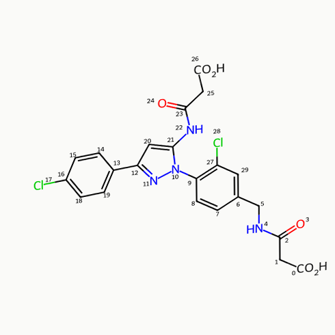 O=C(O)CC(=O)NCc1ccc(-n2nc(-c3ccc(Cl)cc3)cc2NC(=O)CC(=O)O)c(Cl)c1